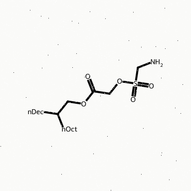 CCCCCCCCCCC(CCCCCCCC)COC(=O)COS(=O)(=O)CN